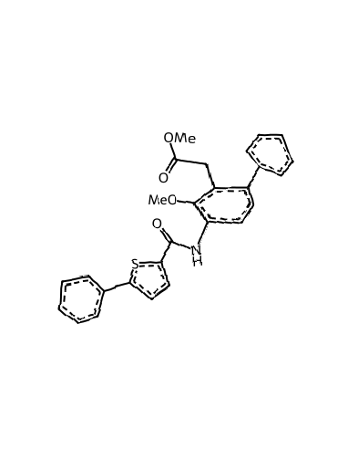 COC(=O)Cc1c(-c2ccccc2)ccc(NC(=O)c2ccc(-c3ccccc3)s2)c1OC